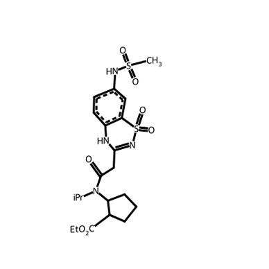 CCOC(=O)C1CCCC1N(C(=O)CC1=NS(=O)(=O)c2cc(NS(C)(=O)=O)ccc2N1)C(C)C